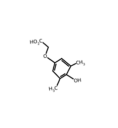 Cc1cc(OCC(=O)O)cc(C)c1O